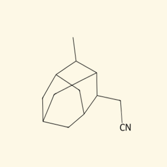 CC1C2CC3CC(C2)C(CC#N)C1C3